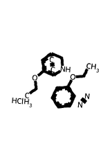 CCOc1cc2ccc1NC2.CCOc1ccccc1.Cl.N#N